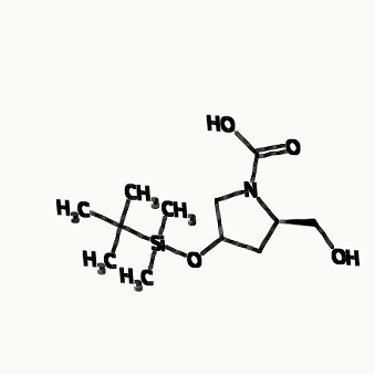 CC(C)(C)[Si](C)(C)OC1C[C@H](CO)N(C(=O)O)C1